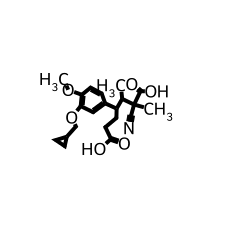 COc1ccc(C(CCC(=O)O)C(C)C(C)(C#N)C(=O)O)cc1OCC1CC1